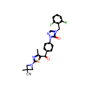 Cc1nc(N2CC(C)(C#N)C2)sc1C(=O)c1ccc(-n2ncn(Cc3c(F)cccc3F)c2=O)cc1